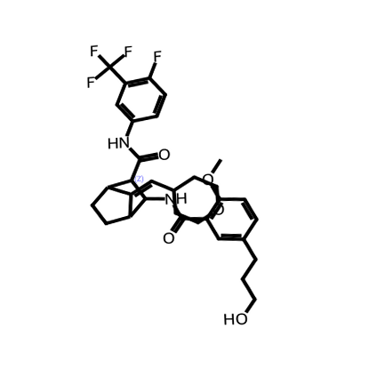 COc1ccc(CCCO)cc1C(=O)NC1C2CCC(/C2=C/C2CCOCC2)C1C(=O)Nc1ccc(F)c(C(F)(F)F)c1